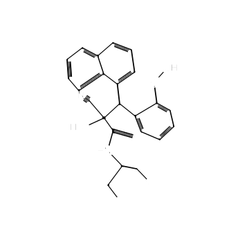 COc1ccccc1C(c1cccc2ccccc12)C(C)(C#N)C(=O)NC(CO)CO